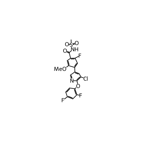 COc1cc(C(=O)NS(C)(=O)=O)c(F)cc1-c1cnc(Oc2ccc(F)cc2F)c(Cl)c1